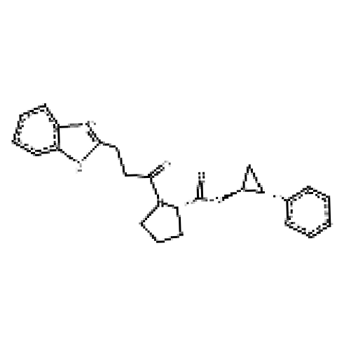 O=C(N[C@H]1C[C@@H]1c1ccccc1)[C@@H]1CCCN1C(=O)CCC1=[N+]c2ccccc2N1